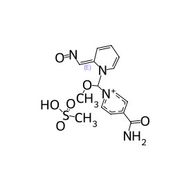 COC(N1C=CC=C/C1=C\N=O)[n+]1ccc(C(N)=O)cc1.CS(=O)(=O)O